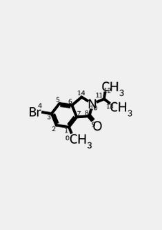 Cc1cc(Br)cc2c1C(=O)N(C(C)C)C2